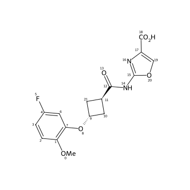 COc1ccc(F)cc1O[C@H]1C[C@H](C(=O)Nc2nc(C(=O)O)co2)C1